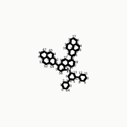 c1ccc(-c2cc(-c3ccccc3)cc(-n3c4ccc(-c5cc6ccc7cccc8ccc(c5)c6c78)c5ccc6c(-c7cc8ccc9cccc%10ccc(c7)c8c9%10)ccc3c6c54)c2)cc1